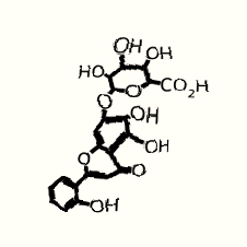 O=C(O)C1OC(Oc2cc3oc(-c4ccccc4O)cc(=O)c3c(O)c2O)C(O)C(O)C1O